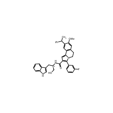 COc1cc2c(cc1C(C)C(C)C)-c1cc(C(=O)N[C@@H](CO)Cc3c[nH]c4ccccc34)c(-c3cccc(F)c3)n1CC2